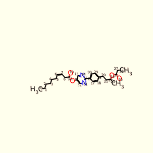 CCCCCC/C=C\CC(=O)Oc1cnc(-c2ccc(CCC(C)OC(=O)CC)cc2)nc1